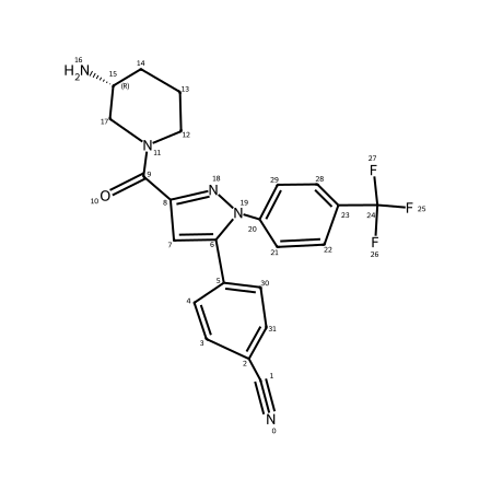 N#Cc1ccc(-c2cc(C(=O)N3CCC[C@@H](N)C3)nn2-c2ccc(C(F)(F)F)cc2)cc1